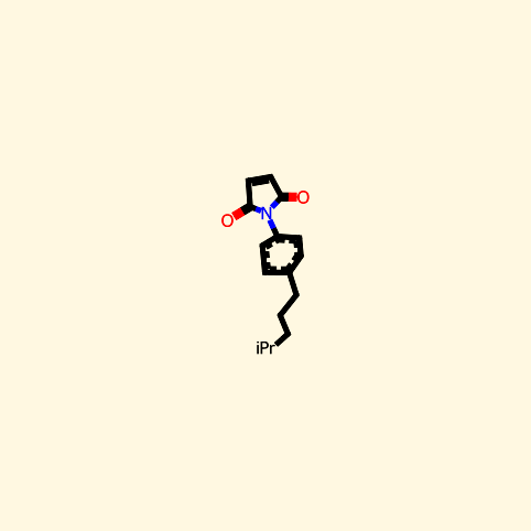 CC(C)CCCc1ccc(N2C(=O)C=CC2=O)cc1